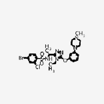 CCn1c(Oc2cccc(N3CCN(C)CC3)c2)nnc1[C@@H](C)NS(=O)(=O)c1ccc(Br)cc1Cl